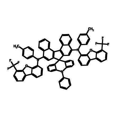 Cc1ccc(N(c2cc3c(c4ccccc24)-c2c(cc(N(c4ccc(C)cc4)c4cccc5c4oc4c(C(F)(F)F)cccc45)c4ccccc24)C32c3ccccc3N(c3ccccc3)c3ccccc32)c2cccc3c2oc2c(C(F)(F)F)cccc23)cc1